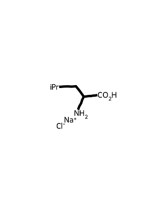 CC(C)CC(N)C(=O)O.[Cl-].[Na+]